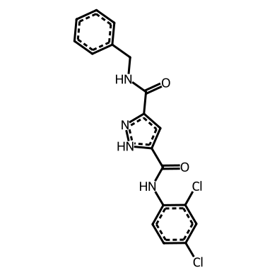 O=C(NCc1ccccc1)c1cc(C(=O)Nc2ccc(Cl)cc2Cl)[nH]n1